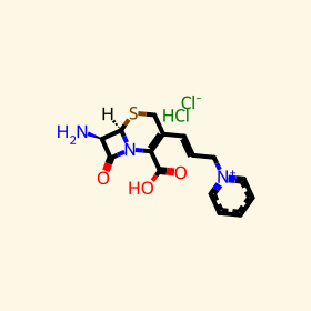 Cl.N[C@@H]1C(=O)N2C(C(=O)O)=C(C=CC[n+]3ccccc3)CS[C@H]12.[Cl-]